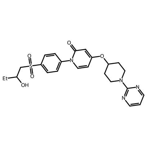 CCC(O)CS(=O)(=O)c1ccc(-n2ccc(OC3CCN(c4ncccn4)CC3)cc2=O)cc1